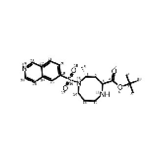 C[C@@H]1CC(C(=O)OC(C)(C)C)NCCCN1S(=O)(=O)c1ccc2cnccc2c1